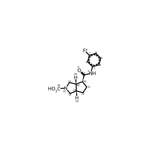 O=C(Nc1cccc(F)c1)[C@H]1CC[C@@H]2CN(C(=O)O)C[C@@H]21